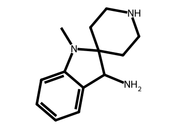 CN1c2ccccc2C(N)C12CCNCC2